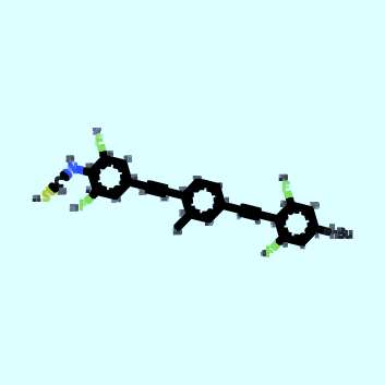 CCCCc1cc(F)c(C#Cc2ccc(C#Cc3cc(F)c(N=C=S)c(F)c3)c(C)c2)c(F)c1